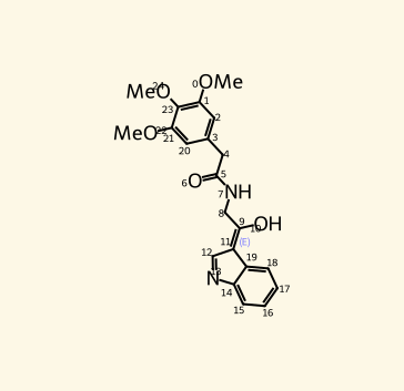 COc1cc(CC(=O)NC/C(O)=C2\C=Nc3ccccc32)cc(OC)c1OC